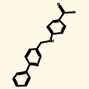 CCCC(=O)c1ccc(NCc2ccc(-c3ccccc3)nc2)cc1